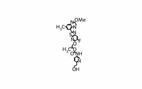 COc1cnc2c(-c3nc4cc(F)c(OC[C@@H](C)OC(=O)Nc5ccc(CCO)nc5)nc4s3)cc(C)cc2n1